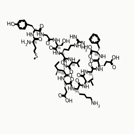 CC[C@H](C)[C@H](NC(=O)[C@@H](NC(=O)[C@H](CCCNC(=N)N)NC(=O)[C@H](CO)NC(=O)CNC(=O)[C@H](Cc1ccc(O)cc1)NC(=O)[C@@H](N)CCSC)C(C)C)C(=O)N[C@@H](CCC(=O)O)C(=O)N[C@@H](CCCCN)C(=O)N[C@@H](C)C(=O)N[C@@H](CC(C)C)C(=O)N[C@@H](CCC(=O)O)C(=O)N[C@@H](Cc1ccccc1)C(=O)O